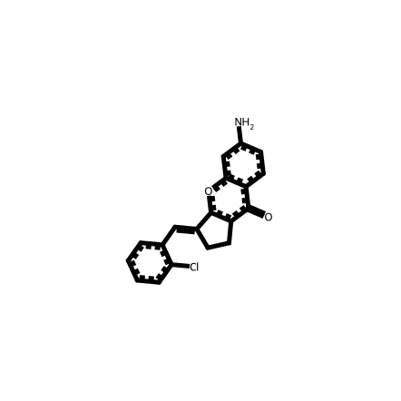 Nc1ccc2c(=O)c3c(oc2c1)/C(=C/c1ccccc1Cl)CC3